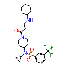 O=C(CCNC1CCCCC1)N1CCC(N(C2CC2)S(=O)(=O)c2cccc(C(F)(F)F)c2)CC1